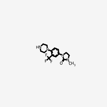 CN1CCN(c2ccc(N3CCNCC3)c(C(F)(F)F)c2)C1=O